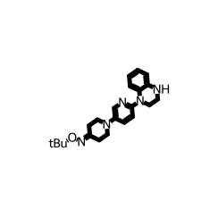 CC(C)(C)ON=C1CCN(c2ccc(N3CCNc4ccccc43)nc2)CC1